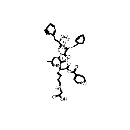 CC(C)C[C@@H](NC(=O)[C@@H](Cc1ccccc1)NC(=O)[C@H](N)Cc1ccccc1)C(=O)N[C@H](CCCCNCC(=O)O)C(=O)OC(=O)C1CCNCC1